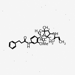 C=CC(=O)NC1CC(C)(C)N(S(=O)(=O)c2ccc(NC(=O)CCc3ccccc3)cc2OC)C1(C)C